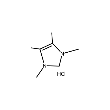 CC1=C(C)N(C)CN1C.Cl